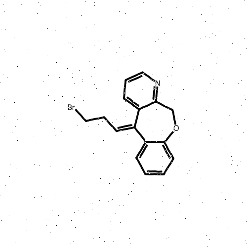 BrCCC=C1c2ccccc2OCc2ncccc21